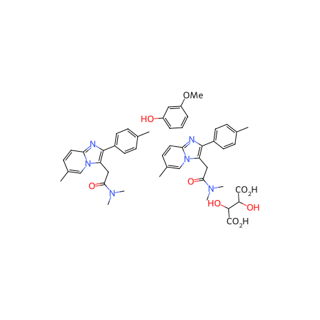 COc1cccc(O)c1.Cc1ccc(-c2nc3ccc(C)cn3c2CC(=O)N(C)C)cc1.Cc1ccc(-c2nc3ccc(C)cn3c2CC(=O)N(C)C)cc1.O=C(O)C(O)C(O)C(=O)O